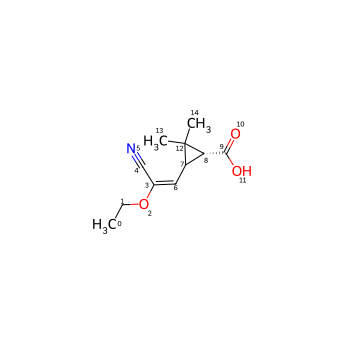 CCO/C(C#N)=C/C1[C@@H](C(=O)O)C1(C)C